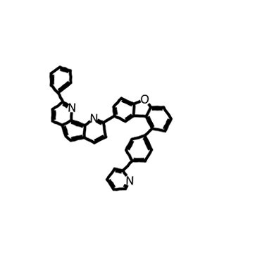 c1ccc(-c2ccc3ccc4ccc(-c5ccc6oc7cccc(-c8ccc(-c9ccccn9)cc8)c7c6c5)nc4c3n2)cc1